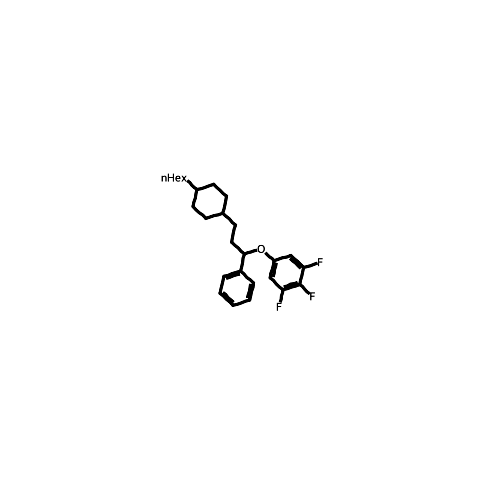 CCCCCCC1CCC(CCC(Oc2cc(F)c(F)c(F)c2)c2ccccc2)CC1